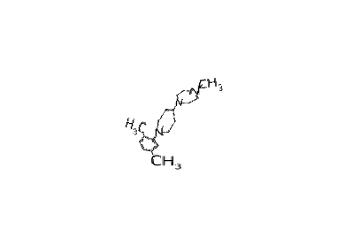 Cc1ccc(C)c(N2CCC(N3CCN(C)CC3)CC2)c1